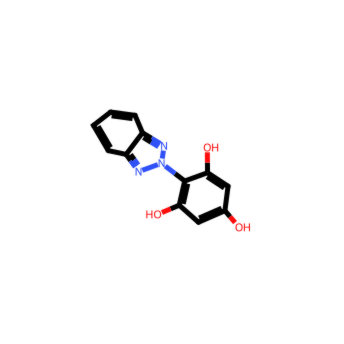 Oc1cc(O)c(-n2nc3ccccc3n2)c(O)c1